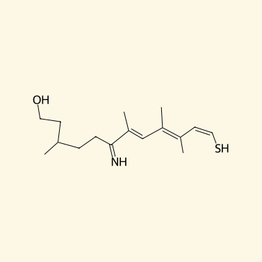 C\C(=C/C(C)=C(C)/C=C\S)C(=N)CCC(C)CCO